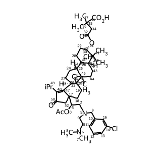 CC(=O)O[C@H](CN(CCN(C)C)Cc1cccc(Cl)c1)C12CC[C@]3(C)[C@H](CC[C@@H]4[C@@]5(C)CC[C@H](OC(=O)CC(C)(C)C(=O)O)C(C)(C)[C@@H]5CC[C@]43C)C1=C(C(C)C)C(=O)C2